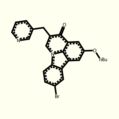 CCCCOc1cc2c(=O)c(Cc3cccnc3)cn3c4ccc(Br)cc4c(c1)c23